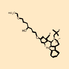 C[C@@H]1Cc2c([nH]c3ccccc23)C(c2c(F)cc(OCCCC(O)CCCOCC(=O)O)cc2F)N1CC(C)(C)F